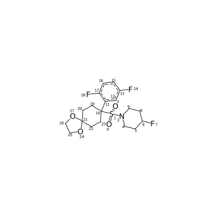 O=S(=O)(N1CCC(F)CC1)C1(c2cc(F)ccc2F)CCC2(CC1)OCCO2